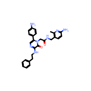 Cc1nc(N)ccc1CNC(=O)Cn1c(-c2ccc(N)cc2)cnc(NCCc2ccccc2)c1=O